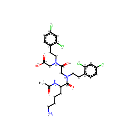 CC(=O)NC(CCCCN)C(=O)N(CCc1ccc(Cl)cc1Cl)CC(=O)N(CCc1ccc(Cl)cc1Cl)CC(=O)O